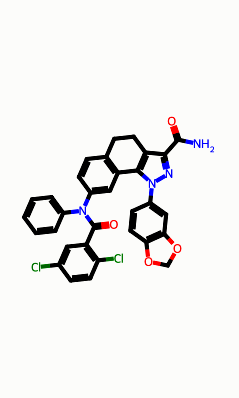 NC(=O)c1nn(-c2ccc3c(c2)OCO3)c2c1CCc1ccc(N(C(=O)c3cc(Cl)ccc3Cl)c3ccccc3)cc1-2